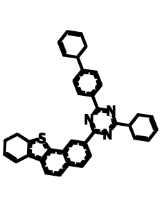 C1=CCC(c2ccc(-c3nc(-c4ccc5ccc6c7c(sc6c5c4)CCC=C7)nc(C4C=CC=CC4)n3)cc2)C=C1